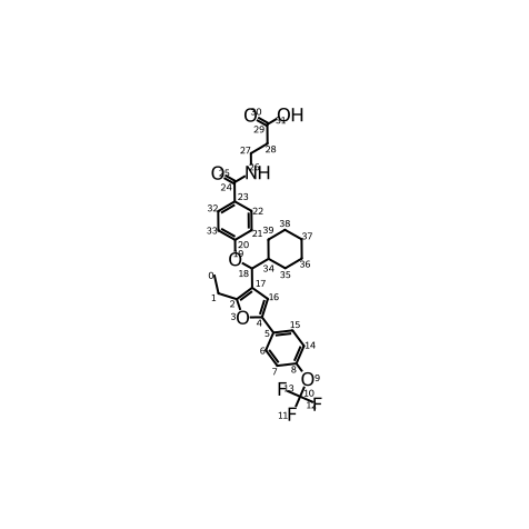 CCc1oc(-c2ccc(OC(F)(F)F)cc2)cc1C(Oc1ccc(C(=O)NCCC(=O)O)cc1)C1CCCCC1